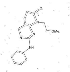 COCCn1c(=O)ccc2cnc(Nc3ccccc3)nc21